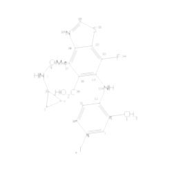 CONC1CC1.Cc1cc(I)ccc1Nc1c(C(=O)O)cc2ncsc2c1F